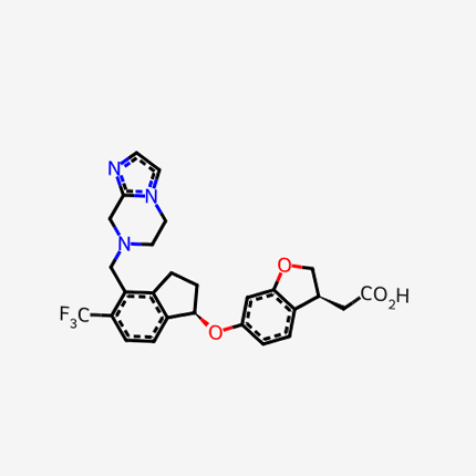 O=C(O)C[C@@H]1COc2cc(O[C@@H]3CCc4c3ccc(C(F)(F)F)c4CN3CCn4ccnc4C3)ccc21